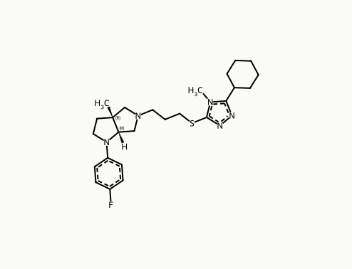 Cn1c(SCCCN2C[C@@H]3N(c4ccc(F)cc4)CC[C@]3(C)C2)nnc1C1CCCCC1